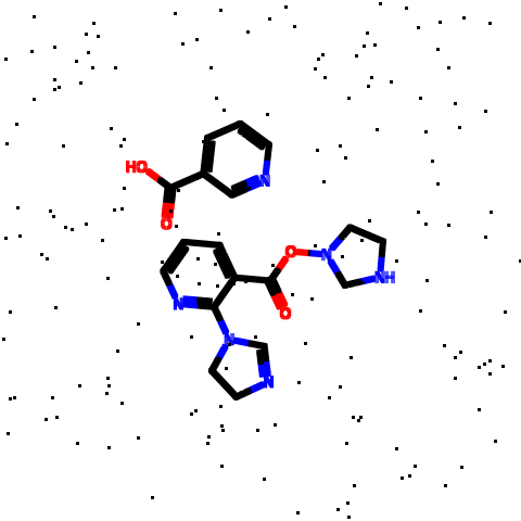 O=C(O)c1cccnc1.O=C(ON1CCNC1)c1cccnc1N1C=NCC1